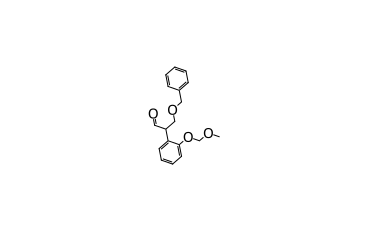 COCOc1ccccc1C(C=O)COCc1ccccc1